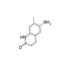 Cc1cc2[nH]c(=O)ccc2cc1N